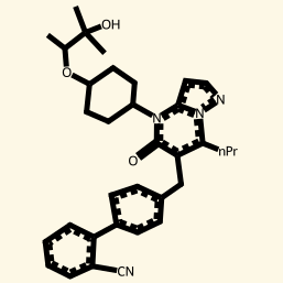 CCCc1c(Cc2ccc(-c3ccccc3C#N)cc2)c(=O)n(C2CCC(OC(C)C(C)(C)O)CC2)c2ccnn12